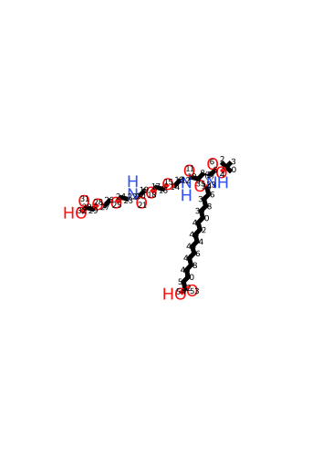 CC(C)(C)OC(=O)[C@H](CCC(=O)NCCOCCOCC(=O)NCCOCCOCC(=O)O)NC(=O)CCCCCCCCCCCCCCCCC(=O)O